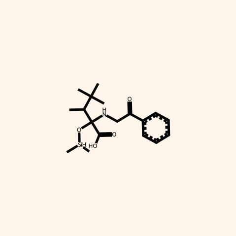 CC(C(C)(C)C)C(NCC(=O)c1ccccc1)(O[SiH](C)C)C(=O)O